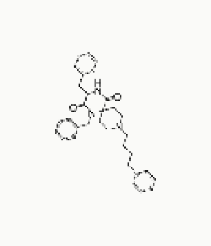 O=C1C(Cc2ccccc2)NC(=O)C2(CCN(CCCCc3ccccc3)CC2)N1Cc1ccccc1